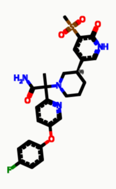 CC(C(N)=O)(c1ccc(Oc2ccc(F)cc2)cn1)N1CCC[C@H](c2c[nH]c(=O)c(S(C)(=O)=O)c2)C1